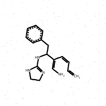 C=C/C=C\C(=C/N)C(Cc1ccccc1)NC1=NCCN1